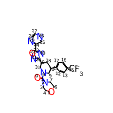 O=C(N1CCOCC1)N1CC(c2ccc(C(F)(F)F)cc2)CC(c2noc(-c3cnccn3)n2)C1